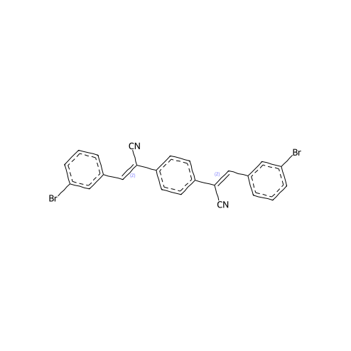 N#C/C(=C\c1cccc(Br)c1)c1ccc(/C(C#N)=C/c2cccc(Br)c2)cc1